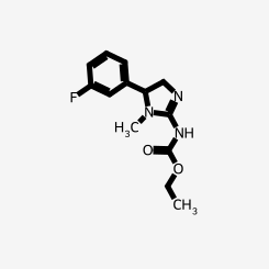 CCOC(=O)NC1=NCC(c2cccc(F)c2)N1C